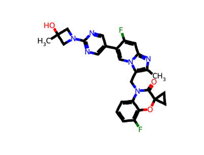 Cc1nc2cc(F)c(-c3cnc(N4CC(C)(O)C4)nc3)cn2c1CN1C(=O)C2(CC2)Oc2c(F)cccc21